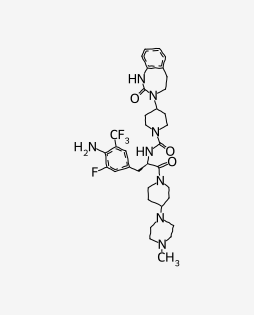 CN1CCN(C2CCN(C(=O)[C@@H](Cc3cc(F)c(N)c(C(F)(F)F)c3)NC(=O)N3CCC(N4CCc5ccccc5NC4=O)CC3)CC2)CC1